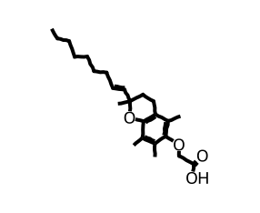 CCCCCCC/C=C/C1(C)CCc2c(C)c(OCC(=O)O)c(C)c(C)c2O1